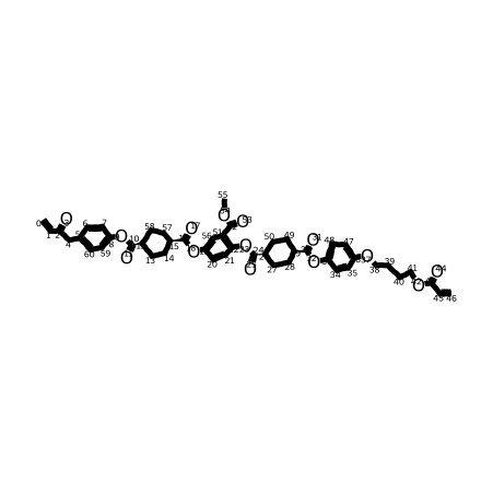 C=CC(=O)Cc1ccc(OC(=O)[C@H]2CC[C@H](C(=O)Oc3ccc(OC(=O)[C@H]4CC[C@H](C(=O)Oc5ccc(OCCCCOC(=O)C=C)cc5)CC4)c(C(=O)OC)c3)CC2)cc1